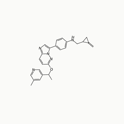 C=C1CC1CNc1ccc(-c2cnc3ccc(OC(C)c4cncc(C)c4)nn23)cc1